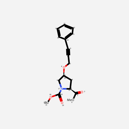 COC(=O)[C@@H]1C[C@H](OCC#Cc2ccccc2)CN1C(=O)OC(C)(C)C